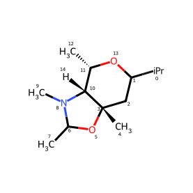 CC(C)C1C[C@]2(C)OC(C)N(C)[C@@H]2[C@H](C)O1